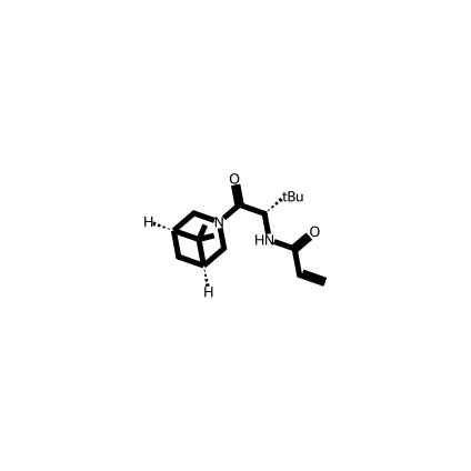 C=CC(=O)N[C@H](C(=O)N1C[C@H]2C[C@@H](C1)C2(C)C)C(C)(C)C